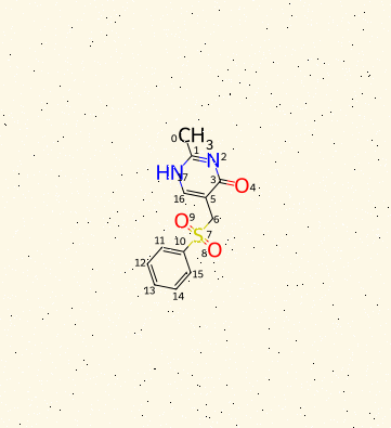 Cc1nc(=O)c(CS(=O)(=O)c2ccccc2)c[nH]1